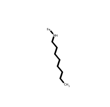 CCCCCCCC[NH][Fe]